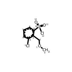 COCc1c(Cl)cccc1S(=O)(=O)Cl